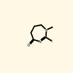 CN1CCCC(=O)N=C1I